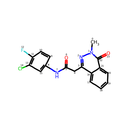 Cn1nc(CC(=O)Nc2ccc(F)c(Cl)c2)c2ccccc2c1=O